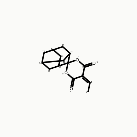 CC=C1C(=O)OC2(OC1=O)C1CC3CC(C1)CC2C3